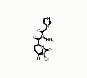 NN(C(=O)Cn1ccnc1)C(=O)[C@@H]1CC[C@@H]2CN1C(=O)N2O